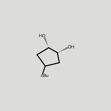 CCCCC1C[C@@H](O)[C@@H](O)C1